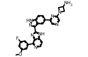 COc1cc(F)cc(-c2nccc3[nH]c(-c4n[nH]c5ccc(-c6cncc(N7CC(N)C7)n6)cc45)nc23)c1